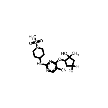 [2H]C1([2H])CC(Oc2nc(NC3CCN(S(C)(=O)=O)CC3)ncc2C#N)C(C)(O)C1